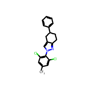 FC(F)(F)c1cc(Cl)c(-n2cc3c(n2)CCC(c2ccccc2)C3)c(Cl)c1